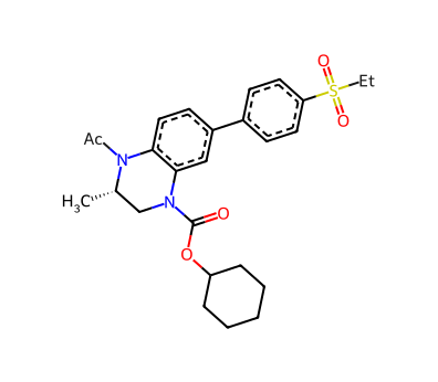 CCS(=O)(=O)c1ccc(-c2ccc3c(c2)N(C(=O)OC2CCCCC2)C[C@H](C)N3C(C)=O)cc1